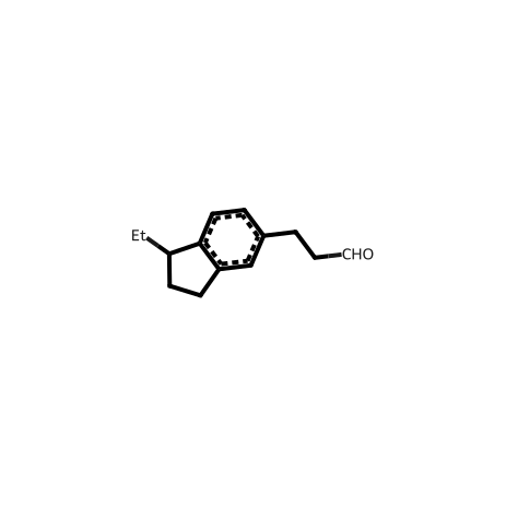 CCC1CCc2cc(CCC=O)ccc21